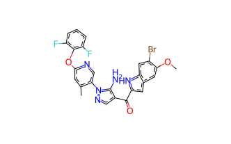 COc1cc2cc(C(=O)c3cnn(-c4cnc(Oc5c(F)cccc5F)cc4C)c3N)[nH]c2cc1Br